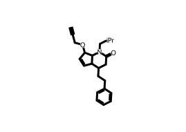 C#CCOC1C=CC2C(CCc3ccccc3)CC(=O)N(CC(C)C)C12